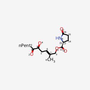 CCCCCC(=O)C(=O)CC=C(C)COC(=O)[C@@H]1CCC(=O)N1